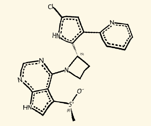 C[S@+]([O-])c1c[nH]c2ncnc(N3CC[C@H]3c3[nH]c(Cl)cc3-c3ccccn3)c12